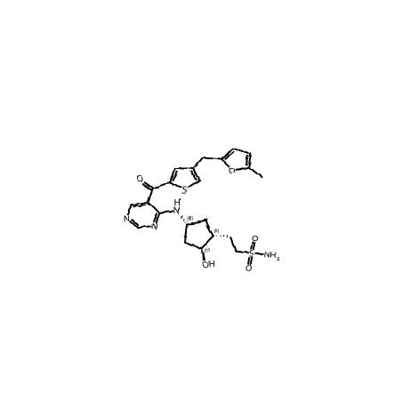 Cc1ccc(Cc2csc(C(=O)c3cncnc3N[C@@H]3C[C@H](CCS(N)(=O)=O)[C@@H](O)C3)c2)o1